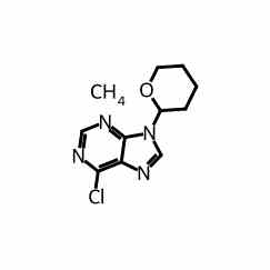 C.Clc1ncnc2c1ncn2C1CCCCO1